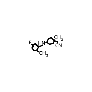 CC1CC=C(F)C=C1CN[C@H]1CC[C@@](C)(CC#N)CC1